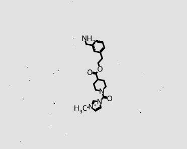 C[n+]1ccn(C(=O)N2CCC(C(=O)OCCc3cccc(CN)c3)CC2)c1